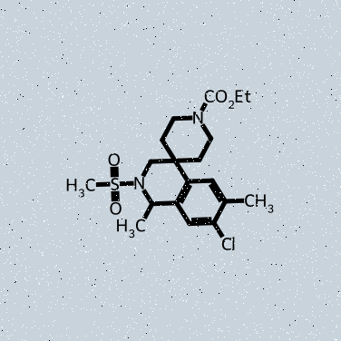 CCOC(=O)N1CCC2(CC1)CN(S(C)(=O)=O)C(C)c1cc(Cl)c(C)cc12